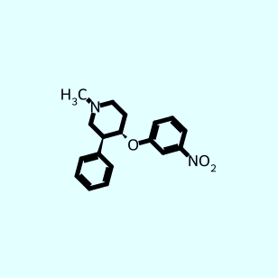 CN1CC[C@H](Oc2cccc([N+](=O)[O-])c2)[C@@H](c2ccccc2)C1